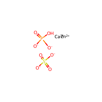 O=P([O-])([O-])O.O=S(=O)([O-])[O-].[Ca+2].[Zn+2]